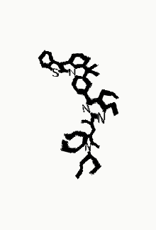 C=C/C=C(\C=C/C)n1c(C)c(/C=C(\C)c2nc(C=C)c(/C=C\C)c(-c3ccc4c(c3)C(C)(C)c3cccc5c6c7ccccc7sc6n-4c35)n2)c(C=C)c1/C=C\C